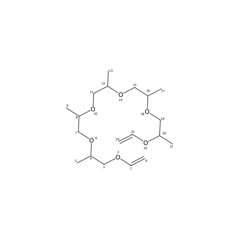 C=COCC(C)OCC(C)OCC(C)OCC(C)OCC(C)OC=C